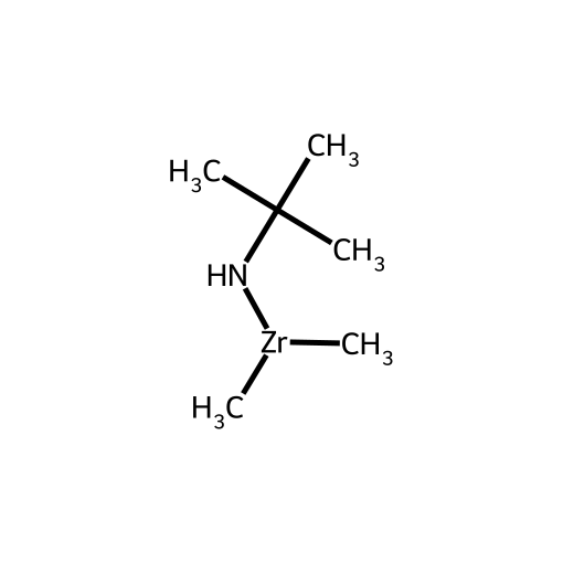 [CH3][Zr]([CH3])[NH]C(C)(C)C